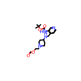 CC(C)(C)OC(=O)Nc1cnccc1CNC1CCN(CCOC=O)CC1